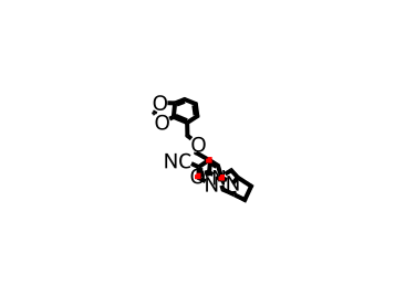 N#Cc1ccc(N2C3CCC2CN(C(=O)CCOCc2cccc4c2OCO4)C3)nc1